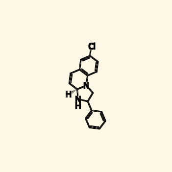 Clc1ccc2c(c1)C=C[C@@H]1NC(c3ccccc3)CN21